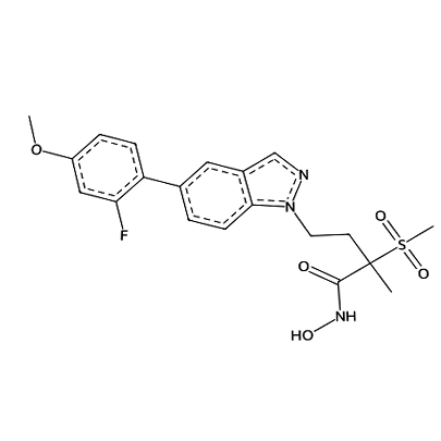 COc1ccc(-c2ccc3c(cnn3CCC(C)(C(=O)NO)S(C)(=O)=O)c2)c(F)c1